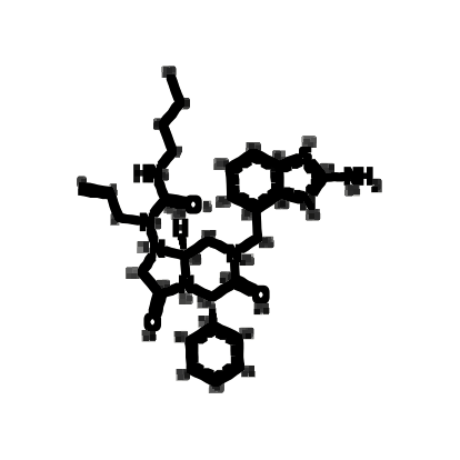 C=CCN(C(=O)NCCCC)N1CC(=O)N2[C@@H](c3ccccc3)C(=O)N(Cc3cccc4sc(N)nc34)C[C@@H]21